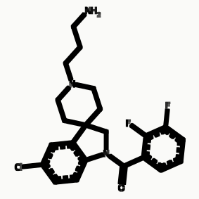 NCCCN1CCC2(CC1)CN(C(=O)c1cccc(F)c1F)c1ccc(Cl)cc12